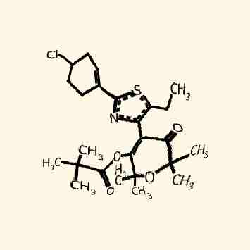 CCc1sc(C2=CCC(Cl)CC2)nc1C1=C(OC(=O)C(C)(C)C)C(C)(C)OC(C)(C)C1=O